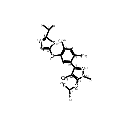 CC(C)c1nnc(Oc2cc(-c3nn(C)c(OC(F)F)c3Cl)c(F)cc2Cl)s1